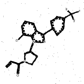 C=CC(=O)N1CCC(n2nc(-c3ccc(C(F)(F)F)cc3)c3cccc(Cl)c32)C1